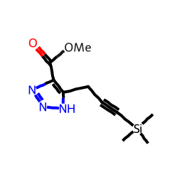 COC(=O)c1nn[nH]c1CC#C[Si](C)(C)C